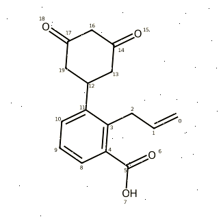 C=CCc1c(C(=O)O)cccc1C1CC(=O)CC(=O)C1